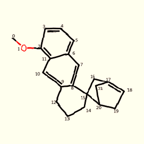 COc1cccc2cc3c(cc12)CCCC31CC2=CCC1C2